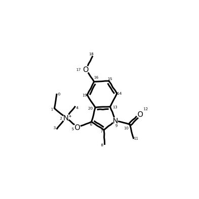 CC[N+](C)(C)Oc1c(C)n(C(C)=O)c2ccc(OC)cc12